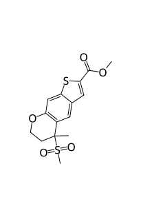 COC(=O)c1cc2cc3c(cc2s1)OCCC3(C)S(C)(=O)=O